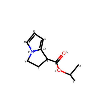 CC(C)OC(=O)C1CCn2cccc21